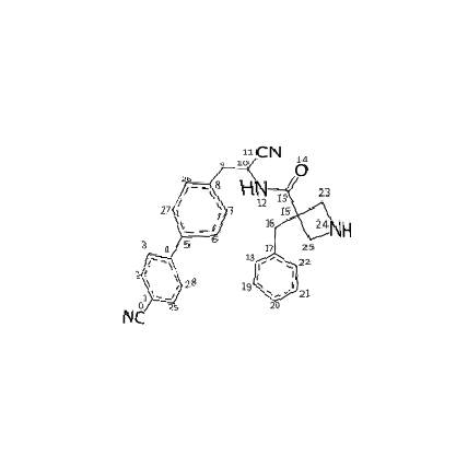 N#Cc1ccc(-c2ccc(CC(C#N)NC(=O)C3(Cc4ccccc4)CNC3)cc2)cc1